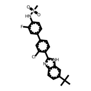 CC(C)(C)c1ccc2nc(-c3ccc(-c4ccc(NS(C)(=O)=O)c(F)c4)cc3Cl)[nH]c2c1